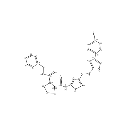 O=C(Nc1nc(CSc2nc(-c3ccc(F)cc3)cs2)cs1)[C@@H]1CCCN1C(=O)OCc1ccccc1